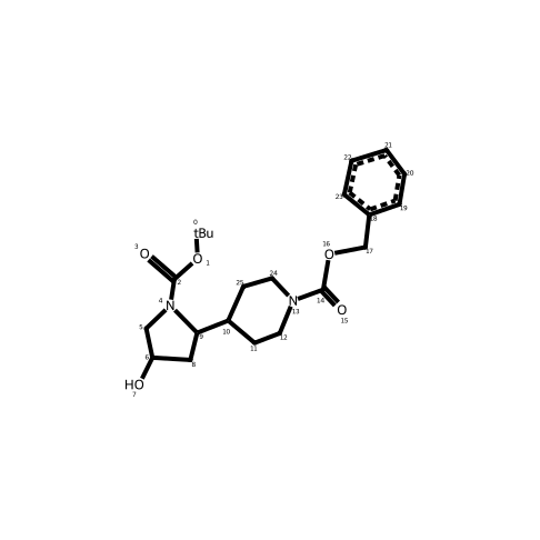 CC(C)(C)OC(=O)N1CC(O)CC1C1CCN(C(=O)OCc2ccccc2)CC1